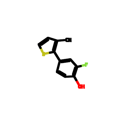 N#Cc1ccsc1-c1ccc(O)c(F)c1